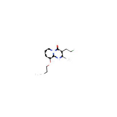 CCCCCCCCCCCCOc1cccn2c(=O)c(CCCl)c(C)nc12